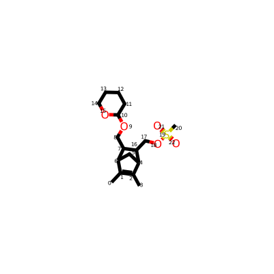 CC1=C(C)C2CC1C(COC1CCCCO1)C2COS(C)(=O)=O